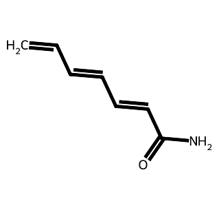 C=CC=CC=CC(N)=O